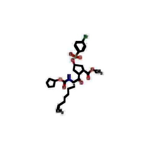 C=CCCCCC[C@H](NC(=O)OC1CCCC1)C(=O)C1C[C@@H](OS(=O)(=O)c2ccc(Br)cc2)C[C@H]1C(=O)OC